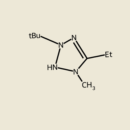 CCC1=NN(C(C)(C)C)NN1C